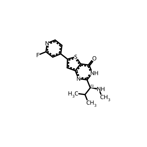 CN[C@H](c1nc2cc(-c3ccnc(F)c3)sc2c(=O)[nH]1)C(C)C